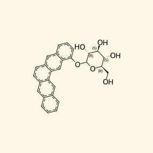 OC[C@H]1OC(Oc2cccc3cc4ccc5cc6ccccc6cc5c4cc23)[C@H](O)[C@@H](O)[C@@H]1O